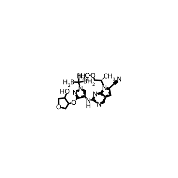 BC(B)(B)n1cc(Nc2ncc3cc(C#N)n([C@@H](C)COC)c3n2)c(OC2COCC2O)n1